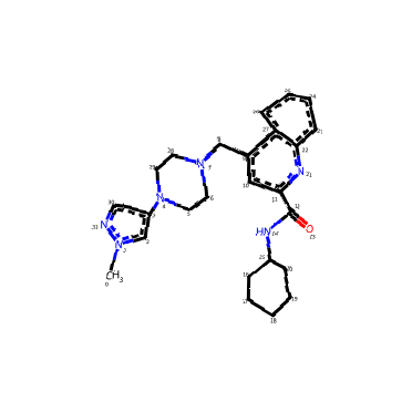 Cn1cc(N2CCN(Cc3cc(C(=O)NC4CCCCC4)nc4ccccc34)CC2)cn1